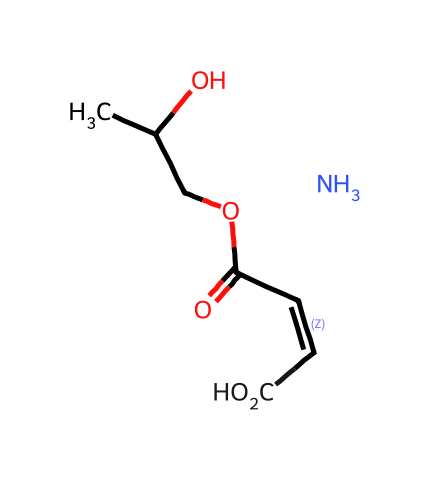 CC(O)COC(=O)/C=C\C(=O)O.N